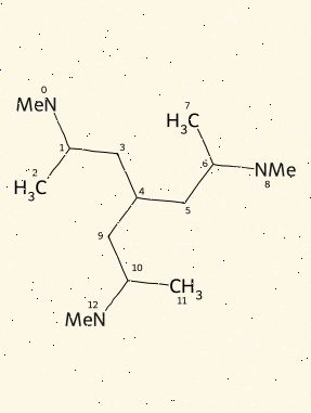 CNC(C)CC(CC(C)NC)CC(C)NC